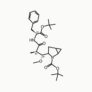 CO[C@@H](C1CC2CC2N1C(=O)OC(C)(C)C)[C@@H](C)C(=O)N[C@@H](Cc1ccccc1)C(=O)OC(C)(C)C